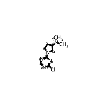 CN(C)C1CCN(c2ncnc(Cl)n2)C1